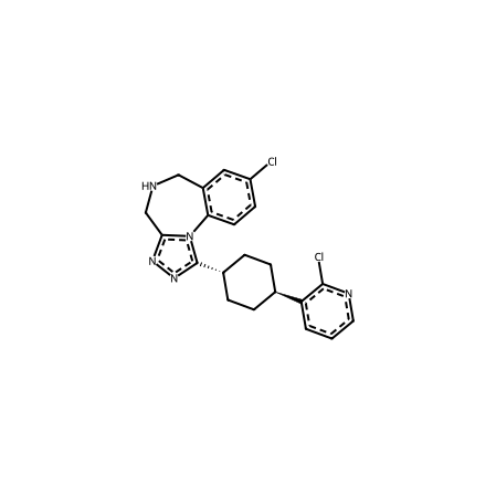 Clc1ccc2c(c1)CNCc1nnc([C@H]3CC[C@H](c4cccnc4Cl)CC3)n1-2